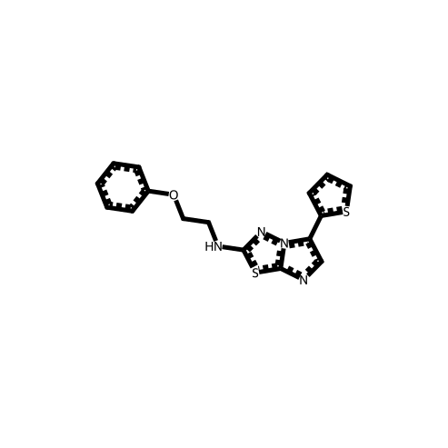 c1ccc(OCCNc2nn3c(-c4cccs4)cnc3s2)cc1